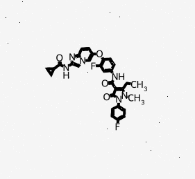 CCc1c(C(=O)Nc2ccc(Oc3ccc4nc(NC(=O)C5CC5)cn4c3)c(F)c2)c(=O)n(-c2ccc(F)cc2)n1C